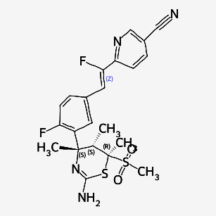 C[C@@H]1[C@@](C)(S(C)(=O)=O)SC(N)=N[C@]1(C)c1cc(/C=C(\F)c2ccc(C#N)cn2)ccc1F